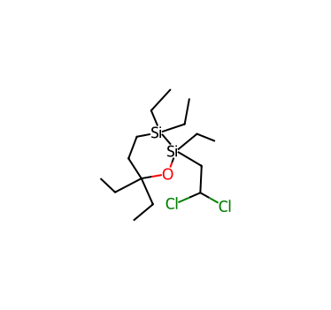 CCC1(CC)CC[Si](CC)(CC)[Si](CC)(CC(Cl)Cl)O1